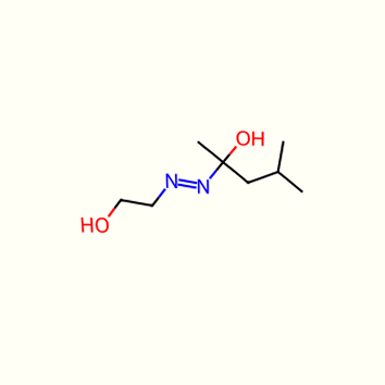 CC(C)CC(C)(O)/N=N/CCO